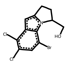 OCC1CCc2cc3c(Cl)c(Cl)cc(Br)c3n21